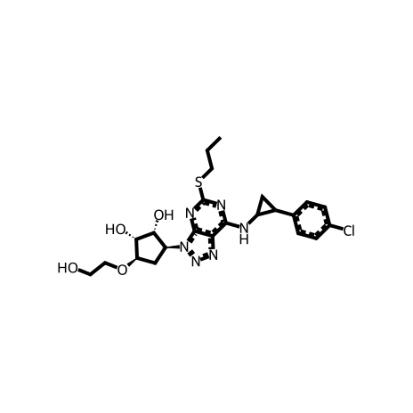 CCCSc1nc(NC2CC2c2ccc(Cl)cc2)c2nnn([C@H]3C[C@@H](OCCO)[C@H](O)[C@@H]3O)c2n1